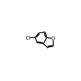 Clc1ccc2oc[c]c2c1